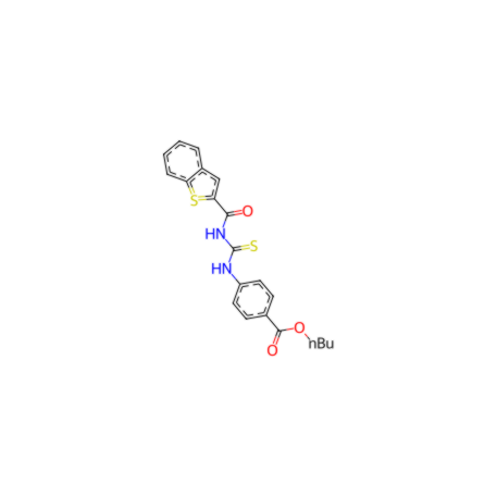 CCCCOC(=O)c1ccc(NC(=S)NC(=O)c2cc3ccccc3s2)cc1